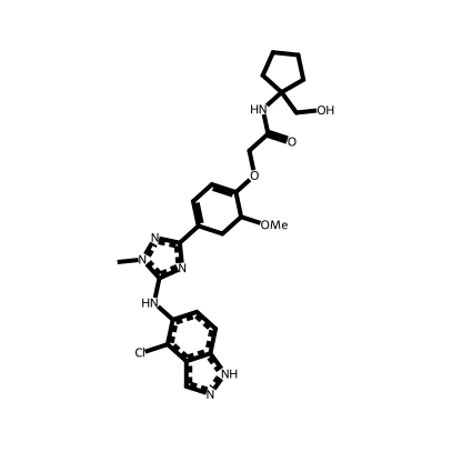 COC1CC(c2nc(Nc3ccc4[nH]ncc4c3Cl)n(C)n2)=CC=C1OCC(=O)NC1(CO)CCCC1